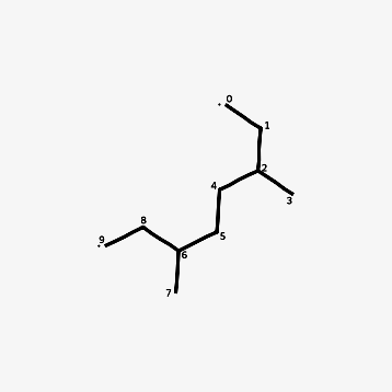 [CH2]CC(C)CCC(C)C[CH2]